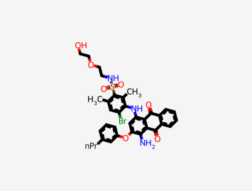 CCCc1cccc(Oc2cc(Nc3c(Br)cc(C)c(S(=O)(=O)NCCOCCO)c3C)c3c(c2N)C(=O)c2ccccc2C3=O)c1